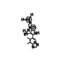 Cc1c(-c2[nH]c3ccc(N4C[C@H]5C[C@@H](C4)N5CCC(N)=O)nc3c2C(C)C)cn2ncnc2c1C